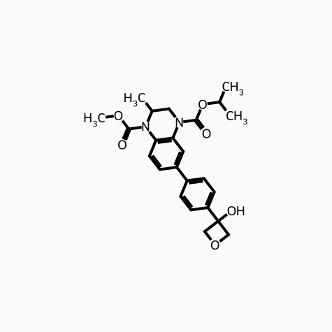 COC(=O)N1c2ccc(-c3ccc(C4(O)COC4)cc3)cc2N(C(=O)OC(C)C)CC1C